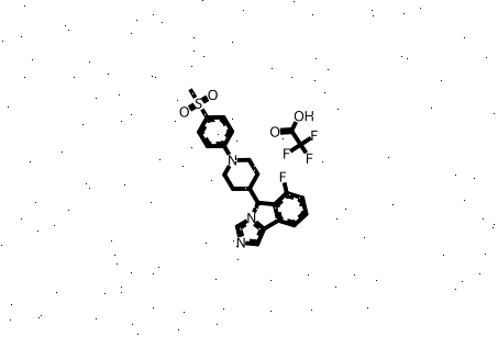 CS(=O)(=O)c1ccc(N2CCC(C3c4c(F)cccc4-c4cncn43)CC2)cc1.O=C(O)C(F)(F)F